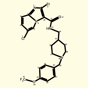 CCc1nc2ccc(Cl)cn2c1C(=O)NCC1CCN(Cc2ccc(OC(F)(F)F)cc2)CC1